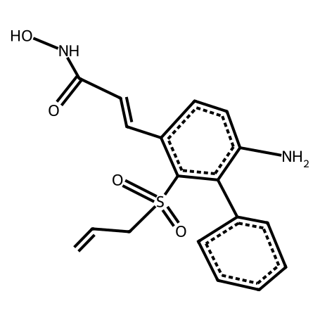 C=CCS(=O)(=O)c1c(C=CC(=O)NO)ccc(N)c1-c1ccccc1